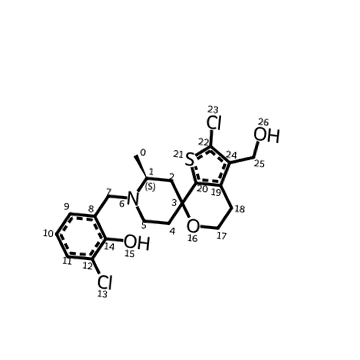 C[C@H]1CC2(CCN1Cc1cccc(Cl)c1O)OCCc1c2sc(Cl)c1CO